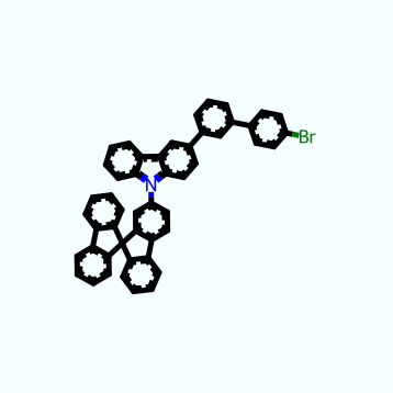 Brc1ccc(-c2cccc(-c3ccc4c(c3)c3ccccc3n4-c3ccc4c(c3)C3(c5ccccc5-c5ccccc53)c3ccccc3-4)c2)cc1